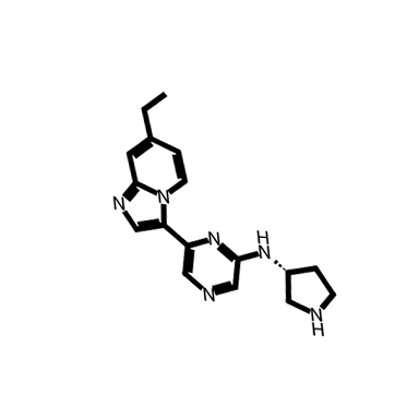 CCc1ccn2c(-c3cncc(N[C@@H]4CCNC4)n3)cnc2c1